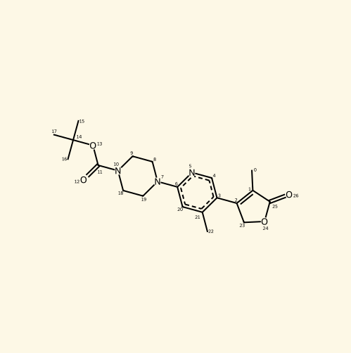 CC1=C(c2cnc(N3CCN(C(=O)OC(C)(C)C)CC3)cc2C)COC1=O